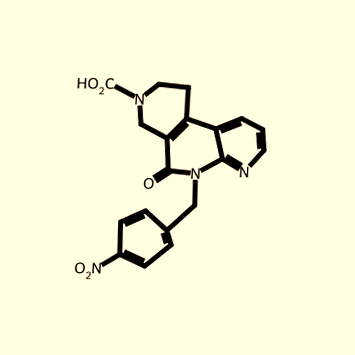 O=C(O)N1CCc2c(c(=O)n(Cc3ccc([N+](=O)[O-])cc3)c3ncccc23)C1